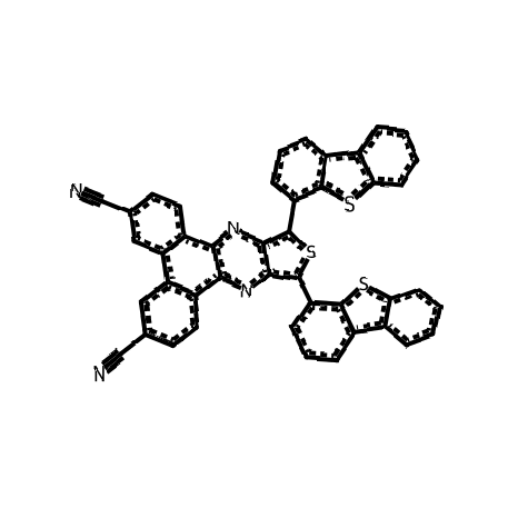 N#Cc1ccc2c(c1)c1cc(C#N)ccc1c1nc3c(-c4cccc5c4sc4ccccc45)sc(-c4cccc5c4sc4ccccc45)c3nc21